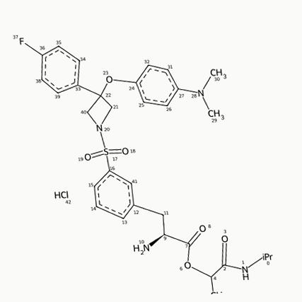 CC(C)NC(=O)C(C)OC(=O)[C@@H](N)Cc1cccc(S(=O)(=O)N2CC(Oc3ccc(N(C)C)cc3)(c3ccc(F)cc3)C2)c1.Cl